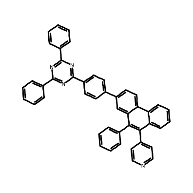 c1ccc(-c2nc(-c3ccccc3)nc(-c3ccc(-c4ccc5c(c4)c(-c4ccccc4)c(-c4ccncc4)c4ccccc45)cc3)n2)cc1